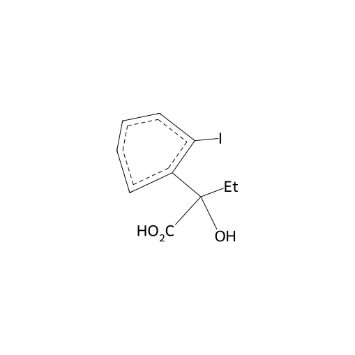 CCC(O)(C(=O)O)c1ccccc1I